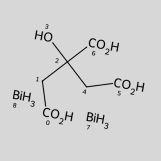 O=C(O)CC(O)(CC(=O)O)C(=O)O.[BiH3].[BiH3]